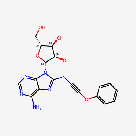 Nc1ncnc2c1nc(NC#COc1ccccc1)n2[C@@H]1O[C@H](CO)[C@@H](O)[C@H]1O